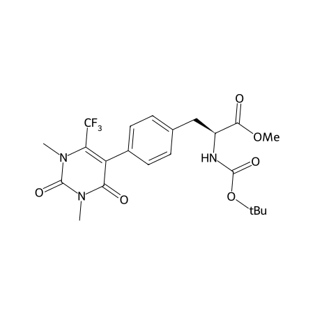 COC(=O)[C@H](Cc1ccc(-c2c(C(F)(F)F)n(C)c(=O)n(C)c2=O)cc1)NC(=O)OC(C)(C)C